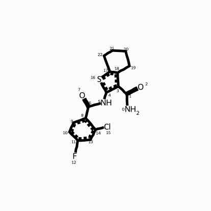 NC(=O)c1c(NC(=O)c2ccc(F)cc2Cl)sc2c1CCCC2